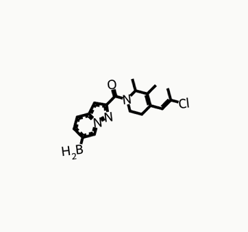 Bc1ccc2cc(C(=O)N3CCC(/C=C(\C)Cl)=C(C)C3C)nn2c1